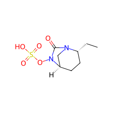 CC[C@@H]1CC[C@@H]2CN1C(=O)N2OS(=O)(=O)O